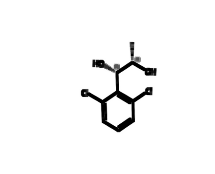 C[C@H](O)[C@@H](O)c1c(Cl)cccc1Cl